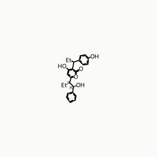 CCC(c1ccc(O)cc1)c1c(O)cc([C@@H](CC)[C@@H](O)c2ccccc2)oc1=O